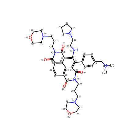 CCN(CC)Cc1ccc(-c2c(NCCN3CCCC3)c3c4c(ccc5c4c2C(=O)N(CCCN2CCOCC2)C5=O)C(=O)N(CCCN2CCOCC2)C3=O)cc1